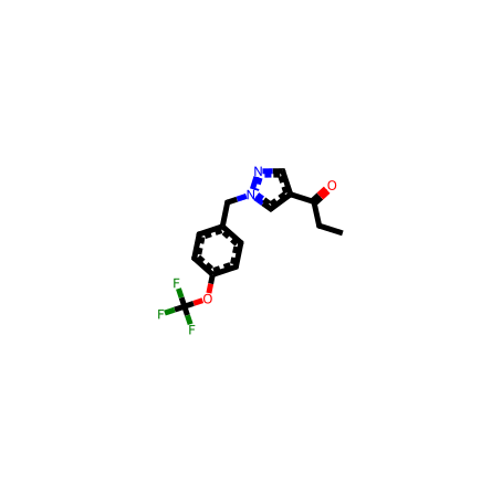 CCC(=O)c1cnn(Cc2ccc(OC(F)(F)F)cc2)c1